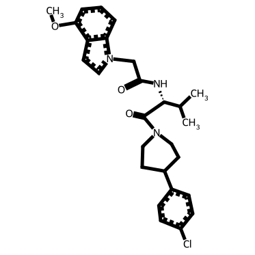 COc1cccc2c1ccn2CC(=O)N[C@@H](C(=O)N1CCC(c2ccc(Cl)cc2)CC1)C(C)C